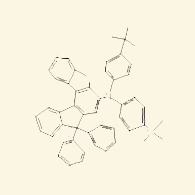 CC(C)(C)c1ccc(N(c2ccc([Si](C)(C)C)cc2)c2cc3c(c4c2sc2ccccc24)-c2ccccc2C3(c2ccccc2)c2ccccc2)cc1